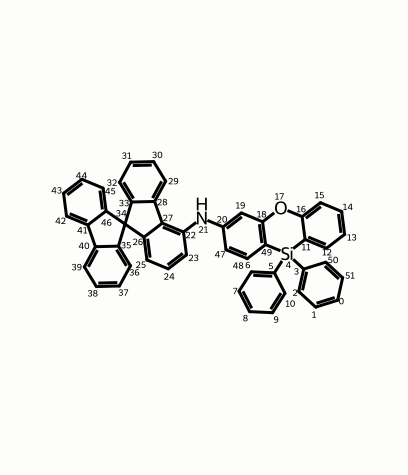 c1ccc([Si]2(c3ccccc3)c3ccccc3Oc3cc(Nc4cccc5c4-c4ccccc4C54c5ccccc5-c5ccccc54)ccc32)cc1